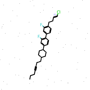 CCCC#CCCC1CCC(c2ccc(-c3ccc(CC/C=C/Cl)c(F)c3)c(F)c2)CC1